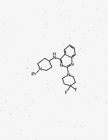 CC(C)N1CCC(Nc2nc(N3CCC(F)(F)CC3)nc3ccccc23)CC1